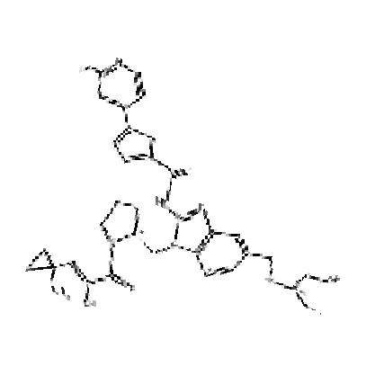 C[C@H](CO)NCc1ccc2c(c1)nc(NC(=O)c1ccc(-c3ccnc(F)c3)s1)n2C[C@H]1CCCN1C(=O)C(C#N)=CC1(C)CC1